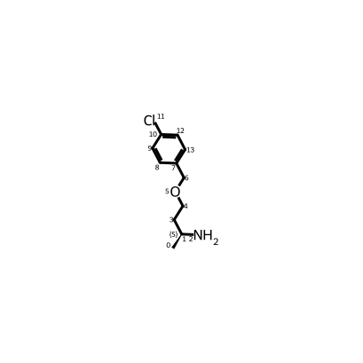 C[C@H](N)CCOCc1ccc(Cl)cc1